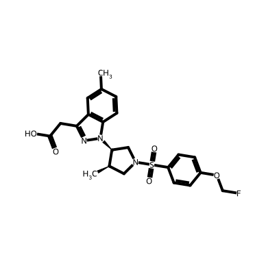 Cc1ccc2c(c1)c(CC(=O)O)nn2[C@H]1CN(S(=O)(=O)c2ccc(OCF)cc2)C[C@H]1C